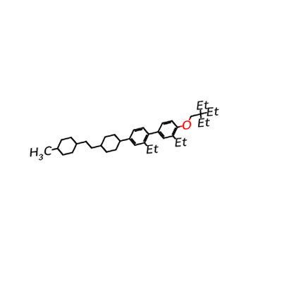 CCc1cc(-c2ccc(C3CCC(CCC4CCC(C)CC4)CC3)cc2CC)ccc1OCC(CC)(CC)CC